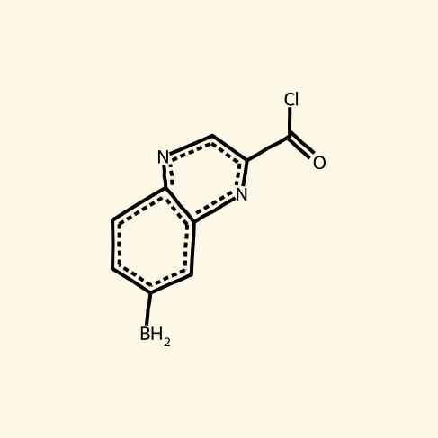 Bc1ccc2ncc(C(=O)Cl)nc2c1